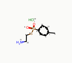 Cc1ccc(S(=O)(=O)SCCN)cc1.Cl